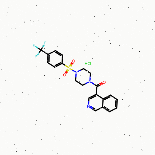 Cl.O=C(c1cncc2ccccc12)N1CCN(S(=O)(=O)c2ccc(C(F)(F)F)cc2)CC1